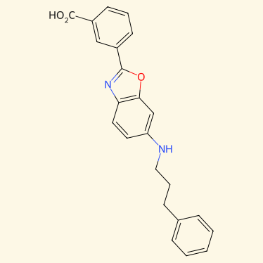 O=C(O)c1cccc(-c2nc3ccc(NCCCc4ccccc4)cc3o2)c1